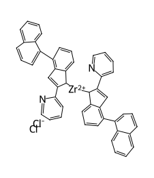 C1=C(c2ccccn2)[CH]([Zr+2][CH]2C(c3ccccn3)=Cc3c(-c4cccc5ccccc45)cccc32)c2cccc(-c3cccc4ccccc34)c21.[Cl-].[Cl-]